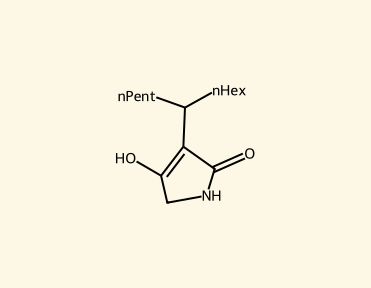 CCCCCCC(CCCCC)C1=C(O)CNC1=O